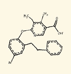 Cc1c(C(=O)O)cnc(Oc2ccc(Br)cc2CCc2ccccc2)c1C